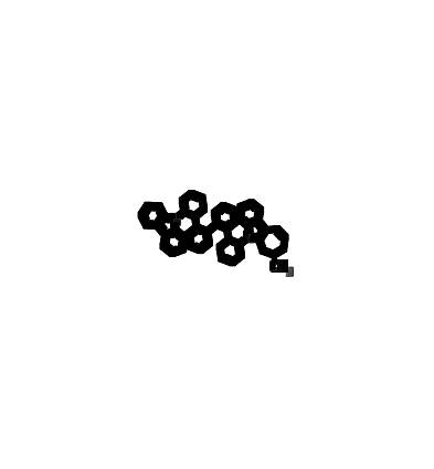 C[C@H]1CC=Cc2c(n(C3=CC=CCC3c3ccccc3-c3ccccc3C3CC=CC=C3n3c4ccccc4c4ccccc43)c3ccccc23)C1